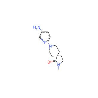 CN1CCC2(CCN(c3ccc(N)cn3)CC2)C1=O